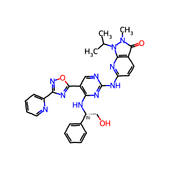 CC(C)n1c2nc(Nc3ncc(-c4nc(-c5ccccn5)no4)c(N[C@H](CO)c4ccccc4)n3)ccc2c(=O)n1C